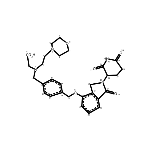 O=C(O)CN(CCN1CCOCC1)Cc1ccc(COc2cccc3c2CN(C2CCC(=O)NC2=O)C3=O)cc1